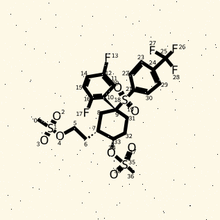 CS(=O)(=O)OCC[C@@H]1C[C@](c2cc(F)ccc2F)(S(=O)(=O)c2ccc(C(F)(F)F)cc2)CC[C@H]1OS(C)(=O)=O